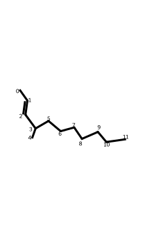 C/C=C/C(C)CCCCCCC